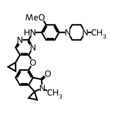 COc1cc(N2CCN(C)CC2)ccc1Nc1ncc(C2CC2)c(Oc2cccc3c2C(=O)N(C)C32CC2)n1